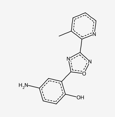 Cc1cccnc1-c1noc(-c2cc(N)ccc2O)n1